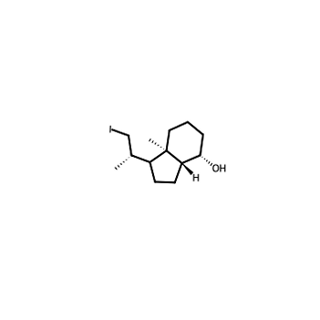 C[C@H](CI)C1CC[C@H]2[C@@H](O)CCC[C@]12C